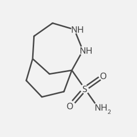 NS(=O)(=O)C12CCCC(CCNN1)C2